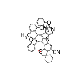 Cc1cccc(C)c1-c1c2oc3ccccc3c2c2c3c4c(c(C#N)cc3n3c5cnc6oc7ccccc7c6c5c1c23)C1(CCCCC1)CC41CCCCC1